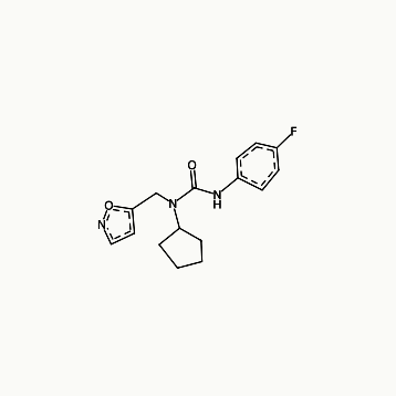 O=C(Nc1ccc(F)cc1)N(Cc1ccno1)C1CCCC1